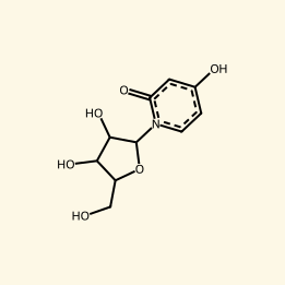 O=c1cc(O)ccn1C1OC(CO)C(O)C1O